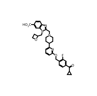 O=C(O)c1ccc2nc(CN3CCC(c4cccc(OCc5ccc(C(=O)C6CC6)cc5F)n4)CC3)n(CC3CCO3)c2c1